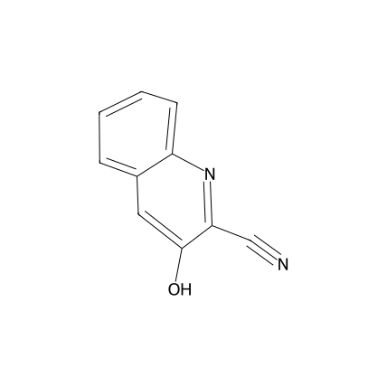 N#Cc1nc2ccccc2cc1O